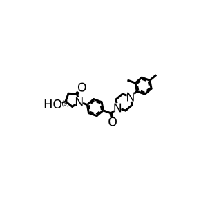 Cc1ccc(N2CCN(C(=O)c3ccc(N4C[C@@H](O)CC4=O)cc3)CC2)c(C)c1